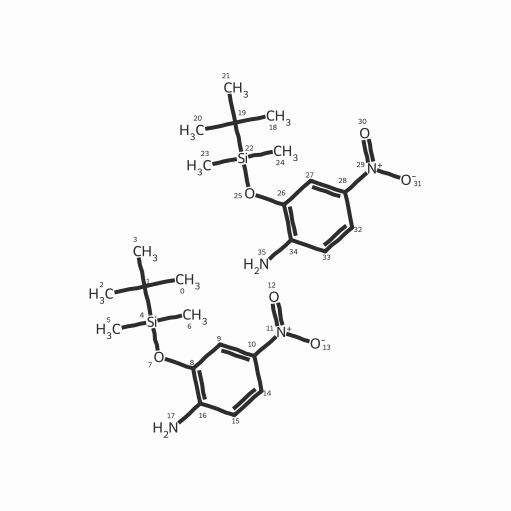 CC(C)(C)[Si](C)(C)Oc1cc([N+](=O)[O-])ccc1N.CC(C)(C)[Si](C)(C)Oc1cc([N+](=O)[O-])ccc1N